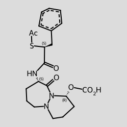 CC(=O)S[C@@H](Cc1ccccc1)C(=O)N[C@H]1CCCN2CCC[C@@H](OC(=O)O)N2C1=O